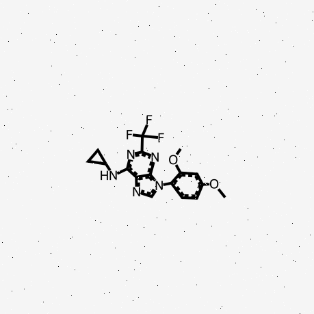 COc1ccc(-n2cnc3c(NC4CC4)nc(C(F)(F)F)nc32)c(OC)c1